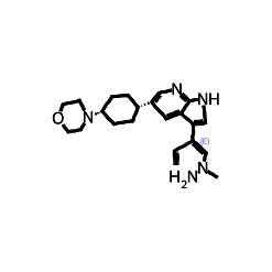 C=C/C(=C\N(C)N)c1c[nH]c2ncc([C@H]3CC[C@@H](N4CCOCC4)CC3)cc12